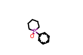 O=P1(c2ccccc2)CCCCC1